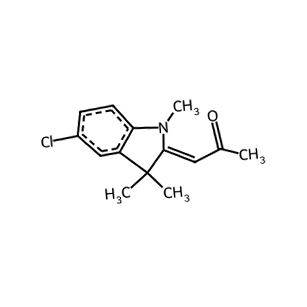 CC(=O)/C=C1\N(C)c2ccc(Cl)cc2C1(C)C